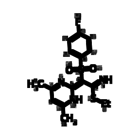 CCSC(=N)/C(=C1/N=C(C)C=C(C)N1)S(=O)(=O)c1ccc(F)cc1